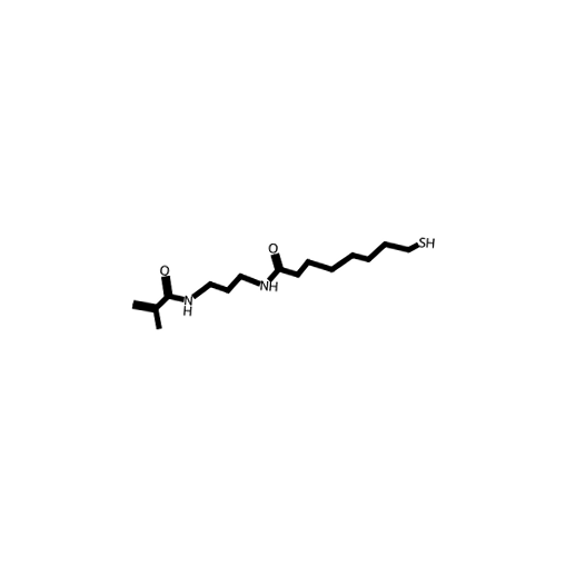 C=C(C)C(=O)NCCCNC(=O)CCCCCCCS